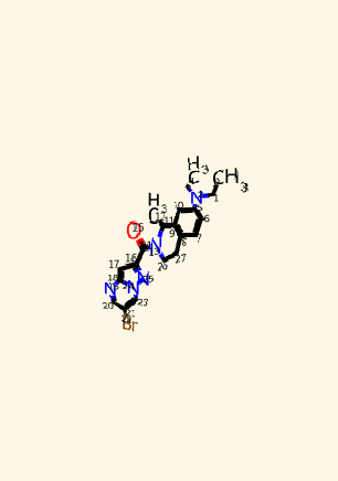 CCN(CC)c1ccc2c(c1)C(C)N(C(=O)c1cc3ncc(Br)cn3n1)CC2